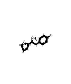 NC(Cc1ccc(F)cc1)c1cccs1